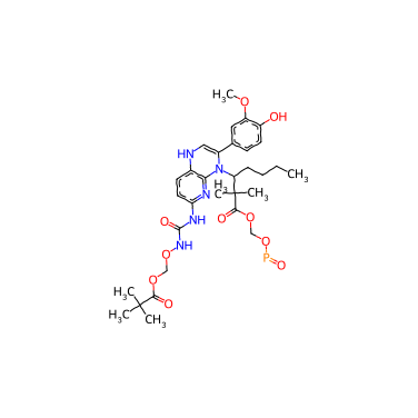 CCCCC(N1C(c2ccc(O)c(OC)c2)=CNc2ccc(NC(=O)NOCOC(=O)C(C)(C)C)nc21)C(C)(C)C(=O)OCOP=O